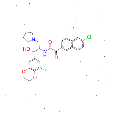 O=C(NC(CN1CCCC1)C(O)c1cc(F)c2c(c1)OCCO2)C(=O)c1ccc2cc(Cl)ccc2c1